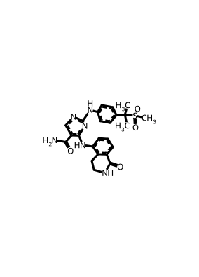 CC(C)(c1ccc(Nc2ncc(C(N)=O)c(Nc3cccc4c3CCNC4=O)n2)cc1)S(C)(=O)=O